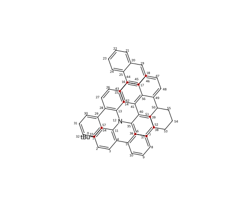 CC(C)(C)c1ccc(-c2ccccc2)c(N(c2cc(-c3cccc4ccccc34)ccc2-c2ccccc2)c2ccccc2-c2cccc3cccc(C4CCCCC4)c23)c1